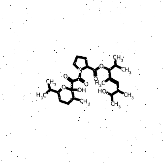 C/C(=C\C(C)C(C)O)C(OC(=O)C1CCCN1C(=O)C(=O)C1(O)OC(C(C)C)CCC1C)C(C)C